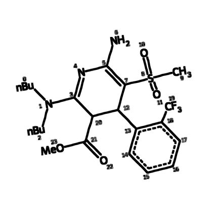 CCCCN(CCCC)C1=NC(N)=C(S(C)(=O)=O)C(c2ccccc2C(F)(F)F)C1C(=O)OC